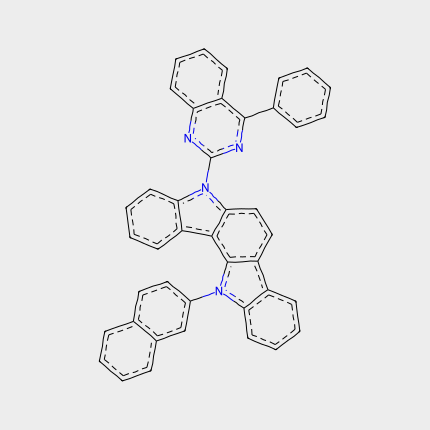 c1ccc(-c2nc(-n3c4ccccc4c4c3ccc3c5ccccc5n(-c5ccc6ccccc6c5)c34)nc3ccccc23)cc1